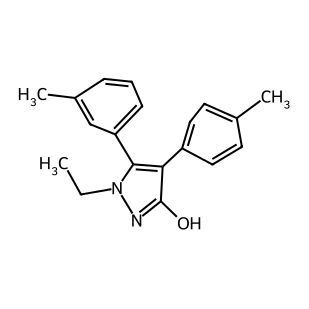 CCn1nc(O)c(-c2ccc(C)cc2)c1-c1cccc(C)c1